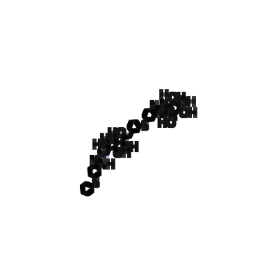 OCC1OC(Nc2nc3ccc(Sc4cccc(C[C@@H](O)C(O)C(O)C(O)C(O)/C=N/c5nc6ccc(Sc7ccccc7)cc6[nH]5)c4)cc3[nH]2)C(O)C(O)C1O